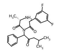 CC(C)CC(=O)C(c1ccccc1)N(C(=O)Cc1cc(F)cc(F)c1)C(=O)[C@H](C)N